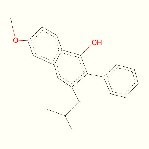 COc1ccc2c(O)c(-c3ccccc3)c(CC(C)C)cc2c1